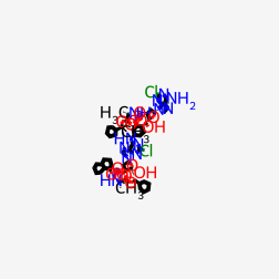 C[C@H](NP(=O)(Oc1cccc2ccccc12)OC1C[C@H](n2cnc3c(Nc4cccc(OP(=O)(N[C@@H](C)C(=O)O[C@@H](C)c5ccccc5)OC5C[C@H](n6cnc7c(N)nc(Cl)nc76)O[C@@H]5CO)c4)nc(Cl)nc32)O[C@@H]1CO)C(=O)OCc1ccccc1